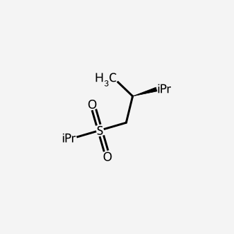 CC(C)[C@H](C)CS(=O)(=O)C(C)C